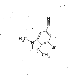 CN1CN(C)c2c(Br)cc(C#N)cc21